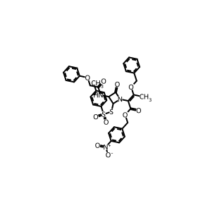 C/C(OCc1ccccc1)=C(\C(=O)OCc1ccc([N+](=O)[O-])cc1)N1C(=O)C(NC(=O)COc2ccccc2)C1SS(=O)(=O)c1ccc(C)cc1